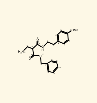 COc1ccc(CCNC(=O)C(CN)C(=O)OCc2ccccc2)cc1